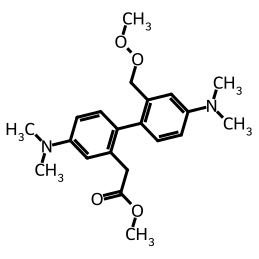 COOCc1cc(N(C)C)ccc1-c1ccc(N(C)C)cc1CC(=O)OC